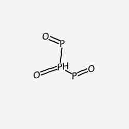 O=P[PH](=O)P=O